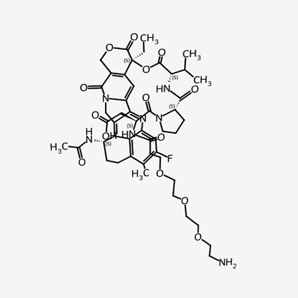 CC[C@@]1(OC(=O)[C@@H](NC(=O)[C@@H]2CCCN2C(=O)[C@H](CC(=O)O)NC(=O)CCOCCOCCOCCN)C(C)C)C(=O)OCc2c1cc1n(c2=O)Cc2c-1nc1cc(F)c(C)c3c1c2[C@@H](NC(C)=O)CC3